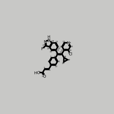 O=C(O)C=Cc1ccc(C(=C(c2ccncc2Cl)C2CC2)c2ccc3[nH]nc(F)c3c2)cc1